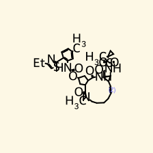 CCc1csc(-c2ccc(C)cc2NC(=O)OC2CC3C(=O)NC4(C(=O)NS(=O)(=O)C5(C)CC5)CC4/C=C\CCCCN(C)C(=O)C3C2)n1